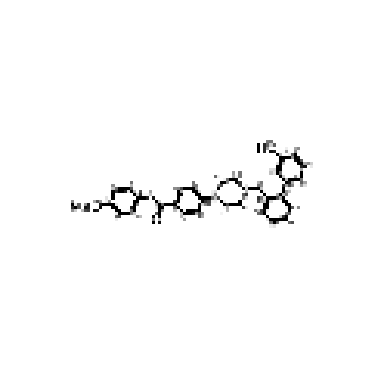 COc1ccc(NC(=O)c2ccc(N3CCN(Cc4ccccc4-c4cccc(O)c4)CC3)cc2)cc1